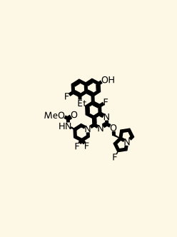 CCc1c(F)ccc2cc(O)cc(-c3ccc4c(N5C[C@H](NC(=O)OC)CC(F)(F)C5)nc(OC[C@@]56CCCN5C[C@H](F)C6)nc4c3F)c12